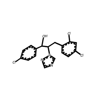 OC(c1ccc(Cl)cc1)C(Cc1ccc(Cl)cc1Cl)n1cncn1